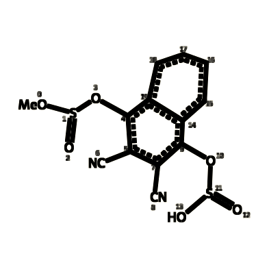 COS(=O)Oc1c(C#N)c(C#N)c(OS(=O)O)c2ccccc12